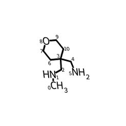 CNCC1(CN)CCOCC1